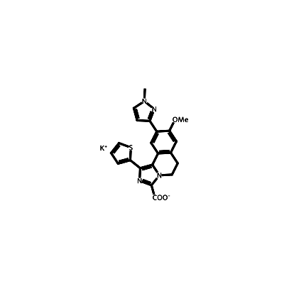 COc1cc2c(cc1-c1ccn(C)n1)-c1c(-c3cccs3)nc(C(=O)[O-])n1CC2.[K+]